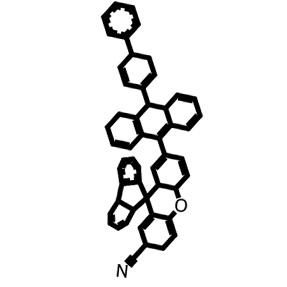 N#CC1C=C2C(=CC1)OC1C=CC(C3=C4C=CC=CC4C(C4=CCC(c5ccccc5)C=C4)C4=C3C=CCC4)=CC1C21c2ccccc2C2C=CC=CC21